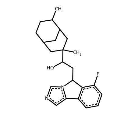 CC1CCC2CC1CC(C)(C(O)CC1c3c(F)cccc3-c3cncn31)C2